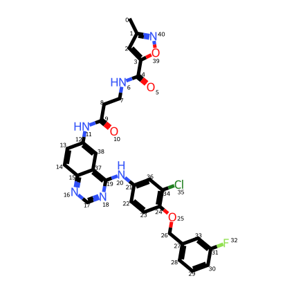 Cc1cc(C(=O)NCCC(=O)Nc2ccc3ncnc(Nc4ccc(OCc5cccc(F)c5)c(Cl)c4)c3c2)on1